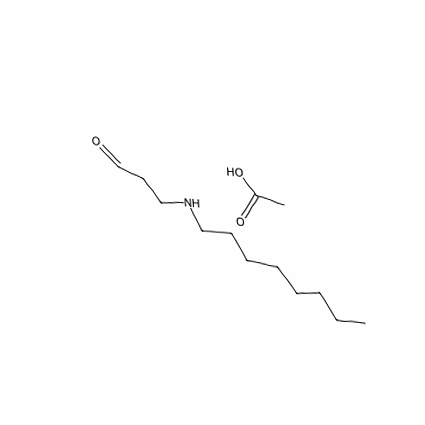 CC(=O)O.CCCCCCCCNCCC=O